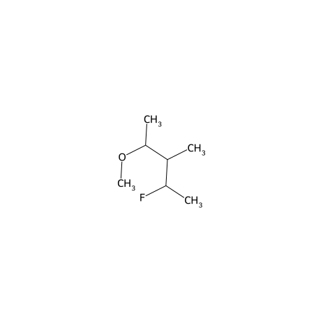 COC(C)C(C)C(C)F